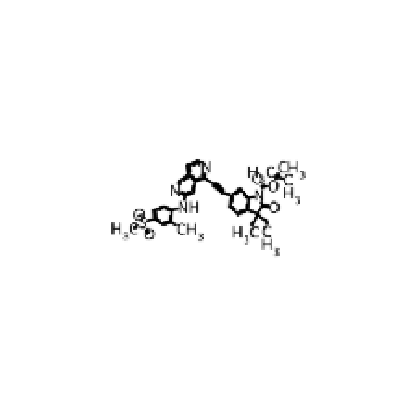 CCC1(CC)C(=O)N(C(=O)OC(C)(C)C)c2cc(C#Cc3nccc4cnc(Nc5ccc(S(C)(=O)=O)cc5C)cc34)ccc21